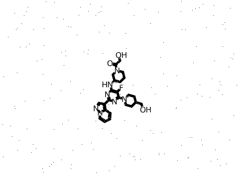 O=C(CO)N1CCC[C@@H](Nc2nc(-c3cnn4ccccc34)nc(N3CCC(CO)CC3)c2F)C1